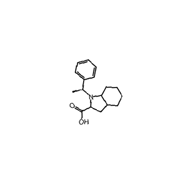 C[C@@H](c1ccccc1)N1C(C(=O)O)CC2CCCCC21